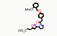 COc1ccccc1COc1ccc(CC(=O)N2CCCC2c2cc(CCC(=O)O)on2)cc1